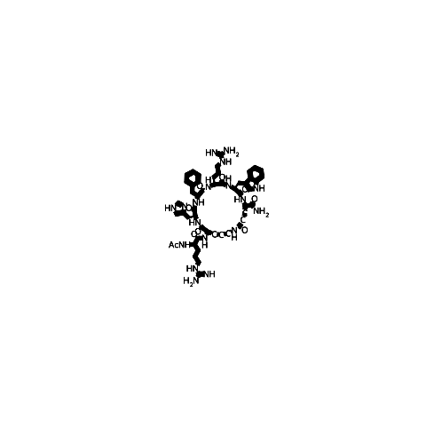 CC(=O)NC(CCCNC(=N)N)C(=O)NC1CCCNC(=O)CCC(C(N)=O)NC(=O)[C@H](Cc2c[nH]c3ccccc23)NC(=O)[C@H](CCCNC(=N)N)NC(=O)C(Cc2ccccc2)NC(=O)[C@H](Cc2c[nH]cn2)NC1=O